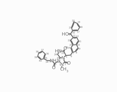 CN1C(=O)N2C(Cc3ccc4ccc(C(O)c5ccccc5)cc4c3)C(=O)NCC2N1C(=O)NCc1ccccc1